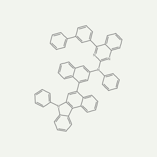 c1ccc(-c2cccc(-c3nc(N(c4ccccc4)c4cc(-c5cc6c(c7ccccc57)c5ccccc5n6-c5ccccc5)c5ccccc5c4)nc4ccccc34)c2)cc1